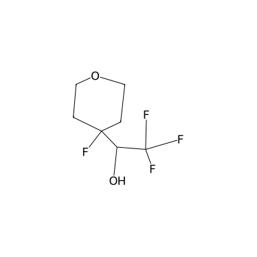 OC(C(F)(F)F)C1(F)CCOCC1